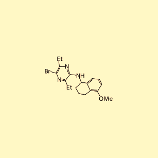 CCc1nc(NC2CCCc3c(OC)cccc32)c(CC)nc1Br